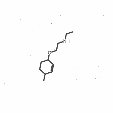 CCNCCOC1C=CC(C)CC1